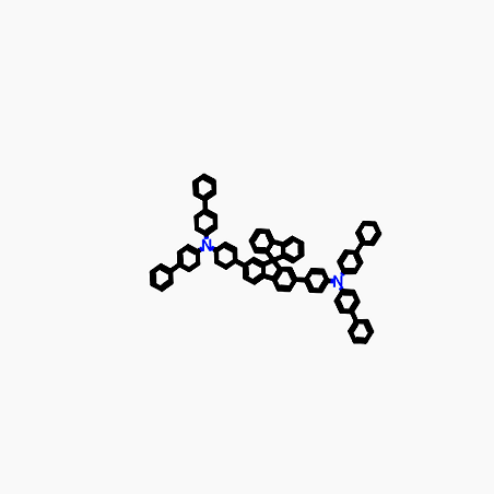 C1=CC(c2ccc(N(c3ccc(-c4ccccc4)cc3)c3ccc(-c4ccc5c(c4)C4(c6ccccc6-c6ccccc64)c4cc(C6C=CC(N(C7=CC=C(c8ccccc8)CC7)C7=CC=C(c8ccccc8)CC7)CC6)ccc4-5)cc3)cc2)=CCC1